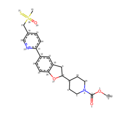 CC(C)(C)OC(=O)N1CCC(C2Cc3cc(-c4ccc(CS(C)(=O)=S)cn4)ccc3O2)CC1